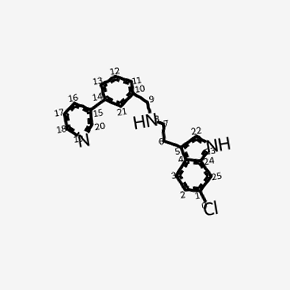 Clc1ccc2c(CCNCc3cccc(-c4cccnc4)c3)c[nH]c2c1